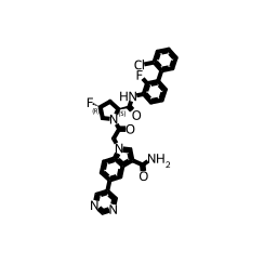 NC(=O)c1cn(CC(=O)N2C[C@H](F)C[C@H]2C(=O)Nc2cccc(-c3ccccc3Cl)c2F)c2ccc(-c3cncnc3)cc12